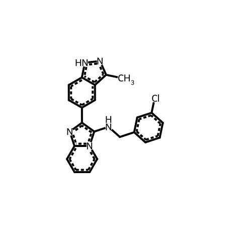 Cc1n[nH]c2ccc(-c3nc4ccccn4c3NCc3cccc(Cl)c3)cc12